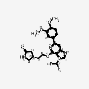 COc1ccc(-c2cc3ncn(C(F)F)c3c(OCC[C@H]3CNC(=O)C3)n2)cc1OC